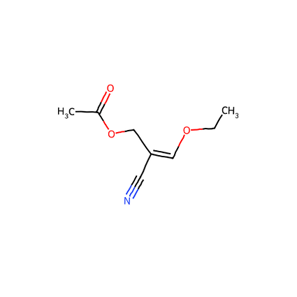 CCOC=C(C#N)COC(C)=O